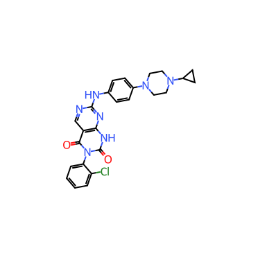 O=c1[nH]c2nc(Nc3ccc(N4CCN(C5CC5)CC4)cc3)ncc2c(=O)n1-c1ccccc1Cl